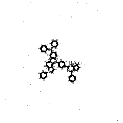 CC1(C)C=Cc2c(-c3ccccc3)nc(-c3ccc(-n4c5ccc(N(c6ccccc6)c6ccccc6)cc5c5ccc6c(ccn6-c6ccccc6)c54)cc3)nc21